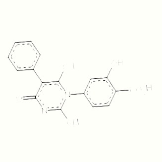 Cc1nc(=O)c(-c2ccccc2)c(C)n1-c1ccc(C(=O)O)c(O)c1